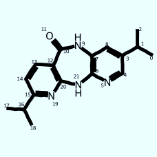 CC(C)c1cnc2c(c1)NC(=O)c1ccc(C(C)C)nc1N2